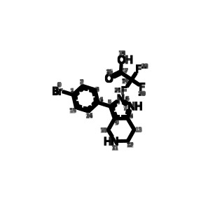 Brc1ccc(-c2n[nH]c3c2CNCC3)cc1.O=C(O)C(F)(F)F